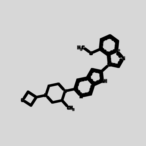 COc1ccc[n+]2ncn(-c3cc4cc(N5CCN(C6COC6)CC5C)ncc4[nH]3)c12